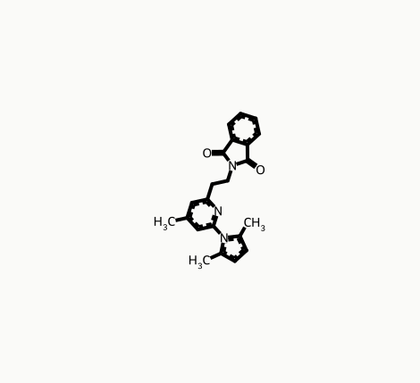 Cc1cc(CCN2C(=O)c3ccccc3C2=O)nc(-n2c(C)ccc2C)c1